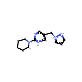 c1cnn(Cc2cnc(N3CCCCC3)nc2)c1